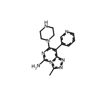 Cc1nnc2c(-c3cccnc3)c(N3CCNCC3)nc(N)n12